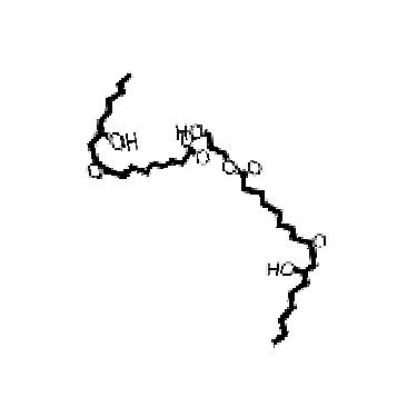 CCCCCCC(O)CC1OC1CCCCCCCC(=O)OCC(CO)OC(=O)CCCCCCCC1OC1CC(O)CCCCCC